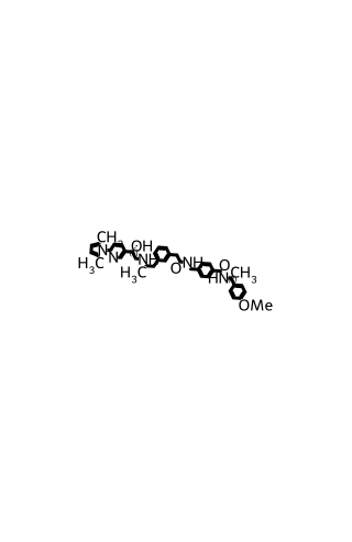 COc1ccc([C@@H](C)NC(=O)c2ccc(CNC(=O)Cc3cccc(CC(C)NC[C@@H](O)c4ccc(-n5c(C)ccc5C)nc4)c3)cc2)cc1